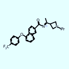 C/C(=N\C(=O)c1ccc2c(Oc3ccc(C(F)(F)F)cc3)cccc2c1)C1CN(C(C)C)C1